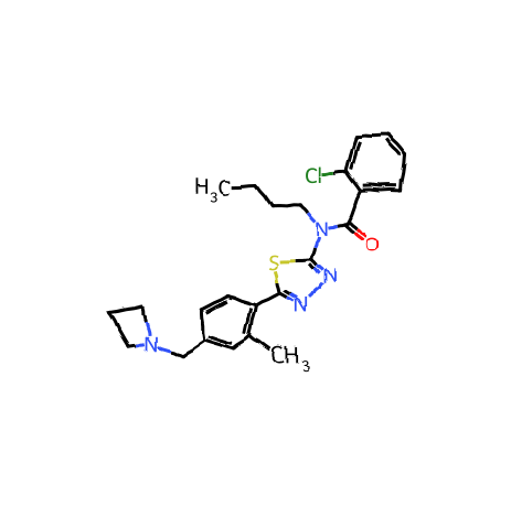 CCCCN(C(=O)c1ccccc1Cl)c1nnc(-c2ccc(CN3CCC3)cc2C)s1